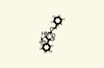 CC(C)C[C@H](NC(=O)OCc1ccccc1)C(=O)c1cc[c]cc1